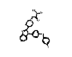 CCN(CC)C(=O)CN1CCC(c2nc3ccccc3n2-c2ccc(Oc3ccc(F)cc3)cc2)CC1